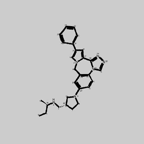 CC[C@@H](C)NC[C@H]1CCN(c2ccc3c(c2)Cn2cc(-c4ccccc4)cc2-c2nncn2-3)C1